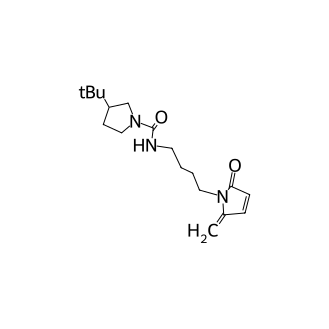 C=C1C=CC(=O)N1CCCCNC(=O)N1CCC(C(C)(C)C)C1